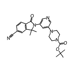 CC(C)(C)OC(=O)N1CCN(c2cncc(N3C(=O)c4ccc(C#N)cc4C3(C)C)c2)CC1